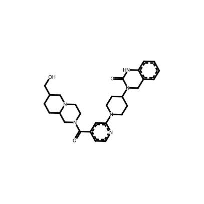 O=C(c1ccnc(N2CCC(N3Cc4ccccc4NC3=O)CC2)c1)N1CCN2CC(CO)CCC2C1